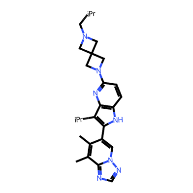 Cc1c(-c2[nH]c3ccc(N4CC5(CN(CC(C)C)C5)C4)nc3c2C(C)C)cn2ncnc2c1C